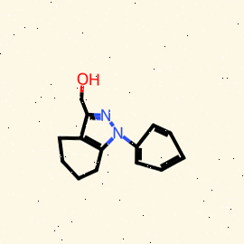 OCc1nn(-c2ccccc2)c2c1CCCC2